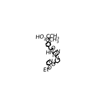 CCOc1cccnc1OC1CCCN(c2cncc(NC(=O)Cc3ccc(OC(C)(C)C(=O)O)cc3)n2)C1